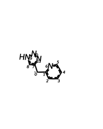 [CH](c1ccccn1)c1c[nH]nn1